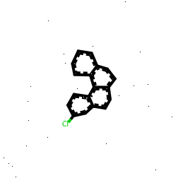 Clc1ccc2c(ccc3ccc4ccccc4c32)c1